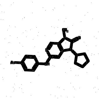 CC(=O)c1ccc(Nc2cc3c(cn2)n(C)c(=O)n3C2CCCC2)cc1